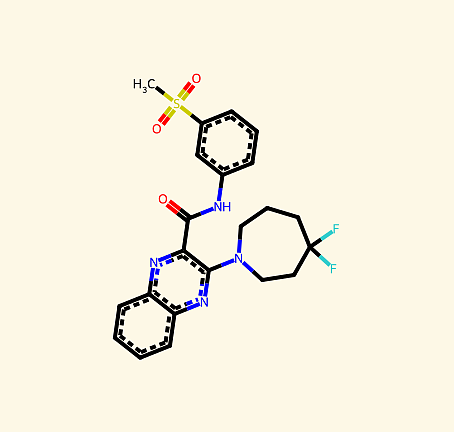 CS(=O)(=O)c1cccc(NC(=O)c2nc3ccccc3nc2N2CCCC(F)(F)CC2)c1